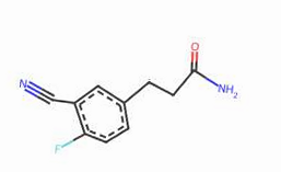 N#Cc1cc([CH]CC(N)=O)ccc1F